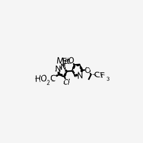 CCn1nc(C(=O)O)c(Cl)c1-c1cnc(O[C@@H](C)C(F)(F)F)cc1OC